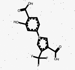 O=C(O)c1ccc(-n2cc(C(=O)O)c(C(F)(F)F)c2)cc1O